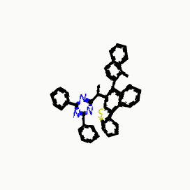 Cc1c(-c2c(C(C)c3nc(-c4ccccc4)nc(-c4ccccc4)n3)c3sc4ccccc4c3c3ccccc23)ccc2ccccc12